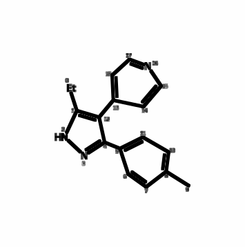 CCc1[nH]nc(-c2ccc(C)cc2)c1-c1ccncc1